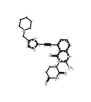 Cc1nc2cccc(C#Cc3ncc(CN4CCCCC4)s3)c2c(=O)n1C1CCC(=O)NC1=O